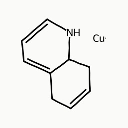 C1=CNC2CC=CCC2=C1.[Cu]